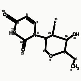 CCC1OCC(n2ccc(=O)[nH]c2=O)C(F)C1O